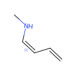 C=C/C=C\NC